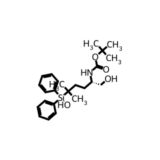 CC(C)(C)OC(=O)N[C@H](CO)CCC(C)(C)[Si](O)(c1ccccc1)c1ccccc1